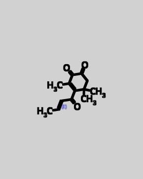 C/C=C/C(=O)C1=C(C)C(=O)C(=O)CC1(C)C